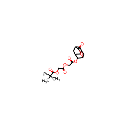 CC(C)C(C)(C)C(=O)OCC(=O)OCC(=O)OC1C2CC3CC(C2)C(=O)OC1C3